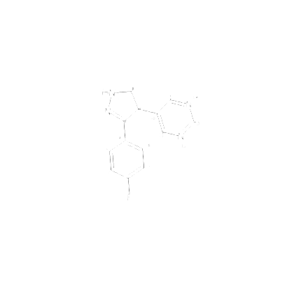 Fc1ccc(C2=NNCC2c2cncnc2)cc1